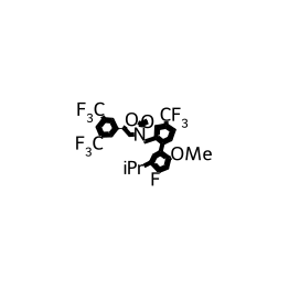 COc1cc(F)c(C(C)C)cc1-c1ccc(C(F)(F)F)cc1CN1C[C@H](c2cc(C(F)(F)F)cc(C(F)(F)F)c2)OC1=O